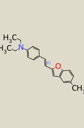 CCN(CC)c1ccc(/C=C/c2cc3cc(C)ccc3o2)cc1